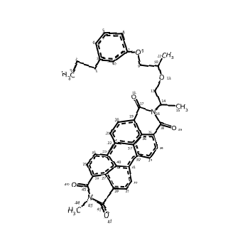 CCCc1cccc(OCC(C)OCC(C)N2C(=O)c3ccc4c5ccc6c7c(ccc(c8ccc(c3c48)C2=O)c75)C(=O)N(C)C6=O)c1